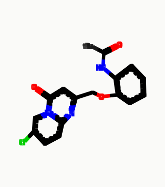 CC(C)(C)C(=O)Nc1ccccc1OCc1cc(=O)n2cc(Cl)ccc2n1